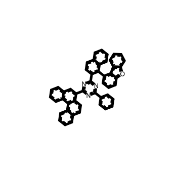 c1ccc(-c2nc(-c3ccc4ccccc4c3-c3cccc4oc5ccccc5c34)nc(-c3cc4ccccc4c4c3ccc3ccccc34)n2)cc1